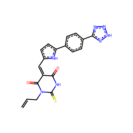 C=CCN1C(=O)C(=Cc2ccc(-c3ccc(-c4nn[nH]n4)cc3)[nH]2)C(=O)NC1=S